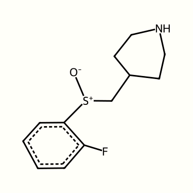 [O-][S+](CC1CCNCC1)c1ccccc1F